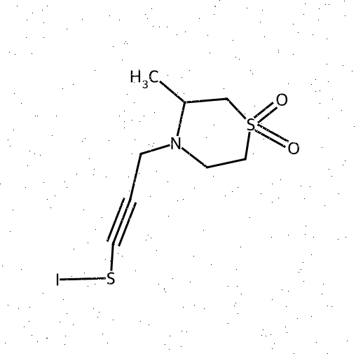 CC1CS(=O)(=O)CCN1CC#CSI